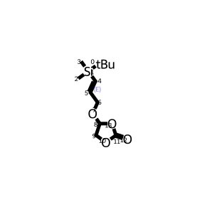 CC(C)(C)[Si](C)(C)/C=C/COC1COC(=O)O1